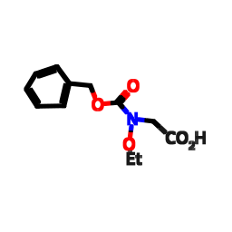 CCON(CC(=O)O)C(=O)OCc1ccccc1